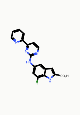 O=C(O)c1cc2cc(Nc3nccc(-c4ccccn4)n3)cc(Cl)c2[nH]1